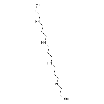 CC(C)(C)CCNCCCNCCCNCCCNCCC(C)(C)C